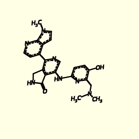 CN(C)Cc1nc(Nc2cnc(-c3ccnc4c3ccn4C)c3c2C(=O)NC3)ccc1O